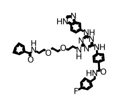 O=C(NCCOCCOCCNc1nc(Nc2ccc(C(=O)NCc3ccc(F)cc3)cc2)nc(Nc2ccc3[nH]cnc3c2)n1)c1ccccc1